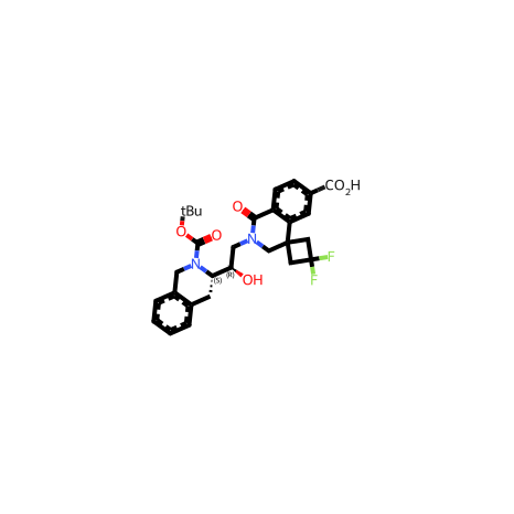 CC(C)(C)OC(=O)N1Cc2ccccc2C[C@H]1[C@H](O)CN1CC2(CC(F)(F)C2)c2cc(C(=O)O)ccc2C1=O